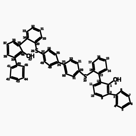 Oc1c(-c2ccccc2)cccc1-c1ccccc1Sc1ccc(-c2ccc(Sc3ccccc3-c3cccc(-c4ccccc4)c3O)cc2)cc1